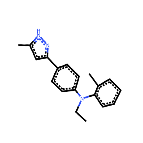 CCN(c1ccc(-c2cc(C)[nH]n2)cc1)c1ccccc1C